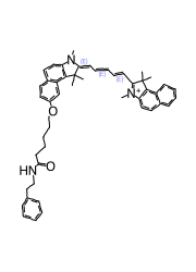 CN1/C(=C/C=C/C=C/C2=[N+](C)c3ccc4ccccc4c3C2(C)C)C(C)(C)c2c1ccc1ccc(OCCCCCC(=O)NCCc3ccccc3)cc21